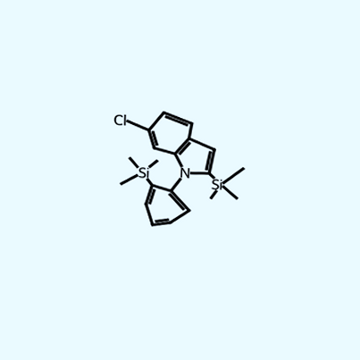 C[Si](C)(C)c1ccccc1-n1c([Si](C)(C)C)cc2ccc(Cl)cc21